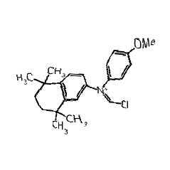 COc1ccc([N+](=CCl)c2ccc3c(c2)C(C)(C)CCC3(C)C)cc1